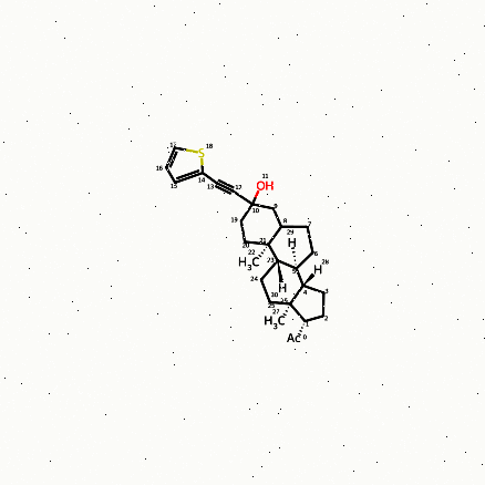 CC(=O)[C@H]1CC[C@H]2[C@@H]3CCC4CC(O)(C#Cc5cccs5)CC[C@]4(C)[C@H]3CC[C@]12C